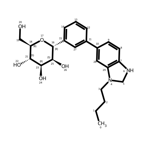 CCCCN1CNc2ccc(-c3cccc([C@H]4O[C@H](CO)[C@@H](O)[C@H](O)[C@@H]4O)c3)cc21